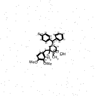 COc1ccc(CC2(C)CN(C(c3ccccc3)c3ccc(F)cc3)CCN2C)cc1OC.Cl.Cl